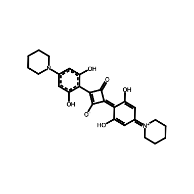 O=C1C(=C2C(O)=CC(=[N+]3CCCCC3)C=C2O)C([O-])=C1c1c(O)cc(N2CCCCC2)cc1O